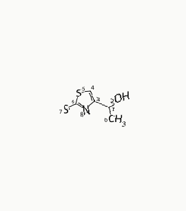 CC(O)c1csc([S])n1